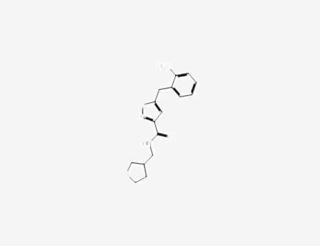 Cc1ccccc1Cc1cc(C(=O)NCC2CCOC2)no1